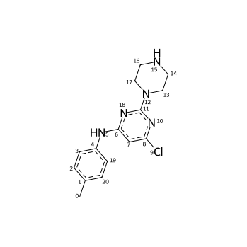 Cc1ccc(Nc2cc(Cl)nc(N3CCNCC3)n2)cc1